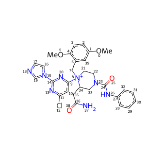 COc1ccc(OC)c(C[N+]2(c3cc(Cl)nc(-n4ccnc4)n3)CCN(C(=O)Nc3ccccc3)CC2CC(N)=O)c1